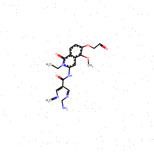 C=N/C=C(\C=N/CN)C(=O)Nc1cc2c(OC)c(OCC=O)ccc2c(=O)n1CC